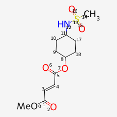 COC(=O)/C=C/C(=O)OC1CCC(NS(C)(=O)=O)CC1